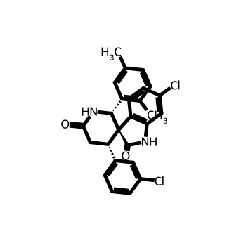 Cc1ccc(C)c([C@H]2NC(=O)C[C@@H](c3cccc(Cl)c3)[C@]23C(=O)Nc2cc(Cl)ccc23)c1